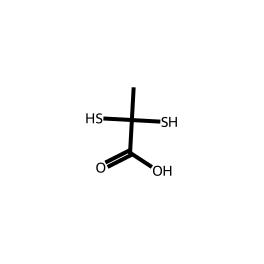 CC(S)(S)C(=O)O